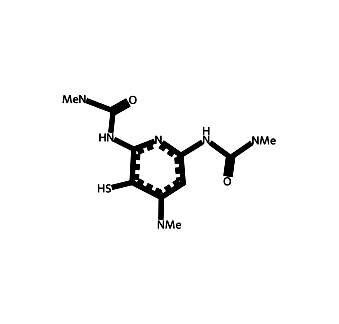 CNC(=O)Nc1cc(NC)c(S)c(NC(=O)NC)n1